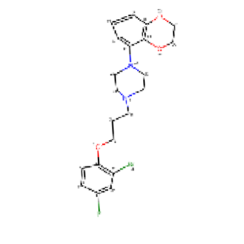 Fc1ccc(OCCCN2CCN(c3cccc4c3OCCO4)CC2)c(Br)c1